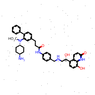 N[C@H]1CC[C@H](N(C(=O)O)c2cc(CCC(=O)Nc3ccc(CNC[C@H](O)c4ccc(O)c5[nH]c(=O)ccc45)cc3)ccc2-c2ccccc2)CC1